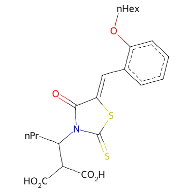 CCCCCCOc1ccccc1C=C1SC(=S)N(C(CCC)C(C(=O)O)C(=O)O)C1=O